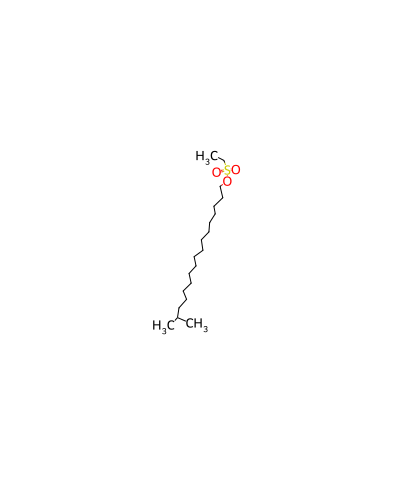 CCS(=O)(=O)OCCCCCCCCCCCCCCCC(C)C